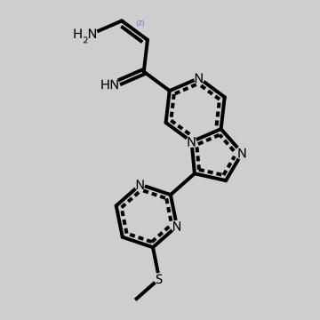 CSc1ccnc(-c2cnc3cnc(C(=N)/C=C\N)cn23)n1